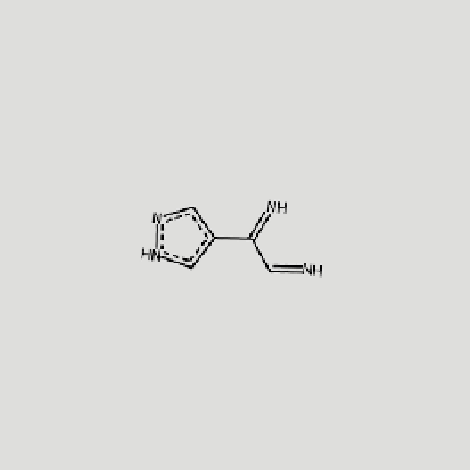 N=CC(=N)c1cn[nH]c1